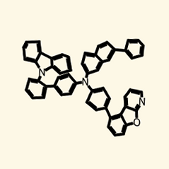 c1ccc(-c2ccc3ccc(N(c4ccc(-c5ccccc5-n5c6ccccc6c6ccccc65)cc4)c4ccc(-c5cccc6oc7ncccc7c56)cc4)cc3c2)cc1